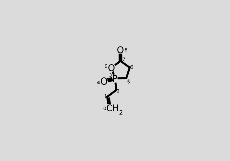 C=CCP1(=O)CCC(=O)O1